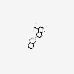 O=c1cc(C(F)(F)F)c2cc(N3CCC4CC=CC=C4C3)ccc2[nH]1